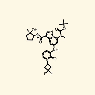 CN(C(=O)OC(C)(C)C)c1cc(Nc2cccn(C3CC(F)(F)C3)c2=O)nc2c(C(=O)N[C@H]3CCC[C@]3(C)O)cnn12